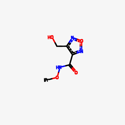 CC(C)ONC(=O)c1nonc1CO